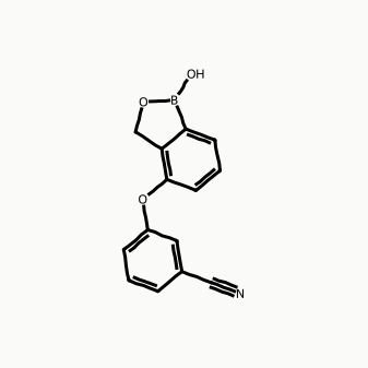 N#Cc1cccc(Oc2cccc3c2COB3O)c1